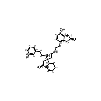 NC(=O)CC(CCNCCc1ccc(O)c2[nH]c(=O)sc12)(NCCc1cccc(F)c1)C1CCCCC1